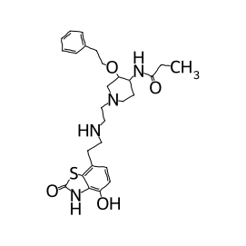 CCC(=O)NC1CCN(CCNCCc2ccc(O)c3[nH]c(=O)sc23)CC1OCCc1ccccc1